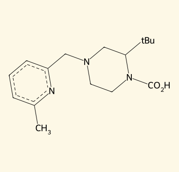 Cc1cccc(CN2CCN(C(=O)O)C(C(C)(C)C)C2)n1